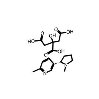 Cc1ccc([C@@H]2CCCN2C)cn1.O=C(O)CC(O)(CC(=O)O)C(=O)O